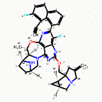 C#Cc1c(F)ccc2cccc(-c3nc4c5c(nc(OCC67CC(=C)CN6C[C@H]6C[C@H]67)nc5c3F)N3C[C@H]5CC[C@H](N5)[C@H]3[C@H](C)O4)c12